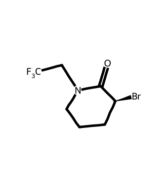 O=C1[C@@H](Br)CCCN1CC(F)(F)F